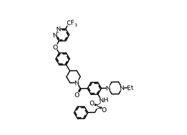 CCN1CCN(c2ccc(C(=O)N3CCC(c4ccc(Oc5ccc(C(F)(F)F)nn5)cc4)CC3)cc2NS(=O)(=O)Cc2ccccc2)CC1